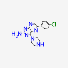 Nc1nc(N2CCNCC2)c2nc(-c3ccc(Cl)cc3)cnc2n1